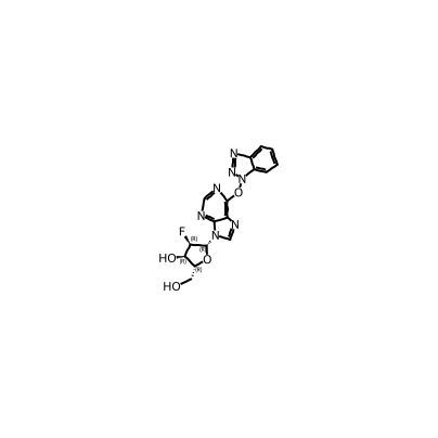 OC[C@H]1O[C@@H](n2cnc3c(On4nnc5ccccc54)ncnc32)[C@H](F)[C@@H]1O